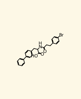 O=C(CCc1ccc(Br)cc1)NC(Cc1ccc(-c2ccccc2)cc1)C(=O)O